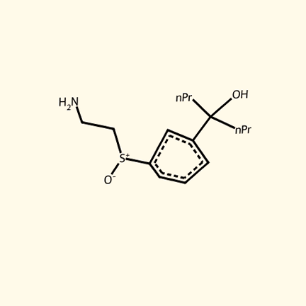 CCCC(O)(CCC)c1cccc([S+]([O-])CCN)c1